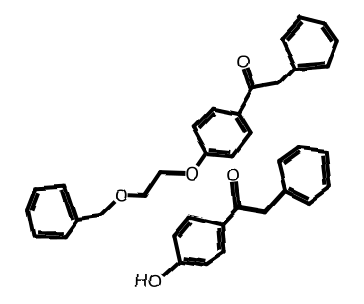 O=C(Cc1ccccc1)c1ccc(O)cc1.O=C(Cc1ccccc1)c1ccc(OCCOCc2ccccc2)cc1